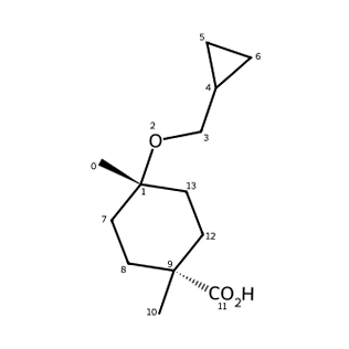 C[C@]1(OCC2CC2)CC[C@@](C)(C(=O)O)CC1